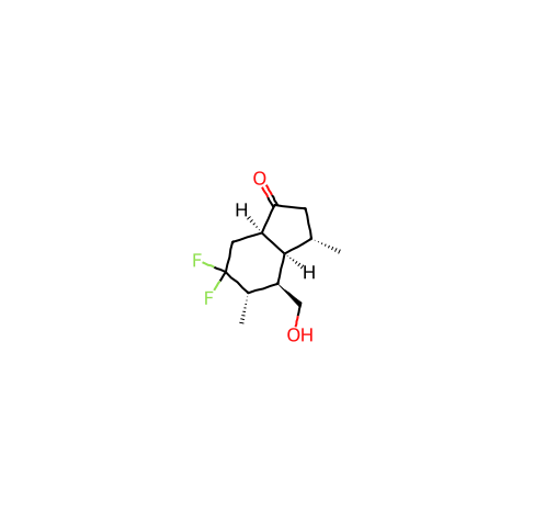 C[C@H]1CC(=O)[C@@H]2CC(F)(F)[C@@H](C)[C@H](CO)[C@H]12